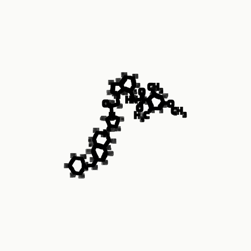 COc1cc(C)c(S(=O)(=O)Nc2cccc3ccn(CC(=O)N4CCC(N5CCc6cc(CN7CCCCC7)ccc6C5)C4)c23)c(C)c1